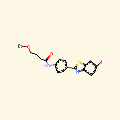 CCOCCCC(=O)Nc1ccc(-c2nc3ccc(I)cc3s2)cc1